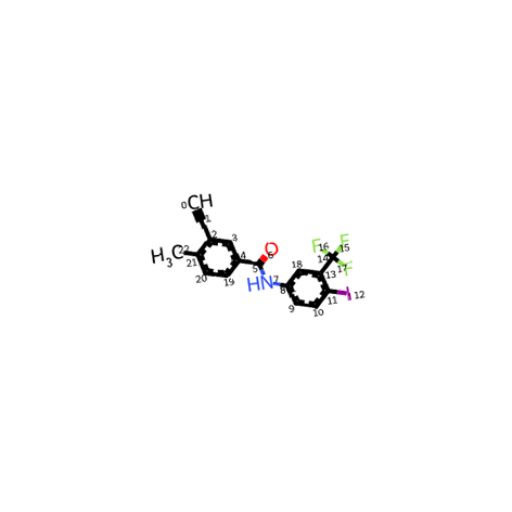 C#Cc1cc(C(=O)Nc2ccc(I)c(C(F)(F)F)c2)ccc1C